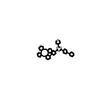 c1ccc(-c2ccc(-c3nc(-c4ccncc4)nc(-c4ccc(-c5cccc6c5-c5ccccc5Cc5ccccc5-c5ccccc5C6)cc4)n3)cc2)cc1